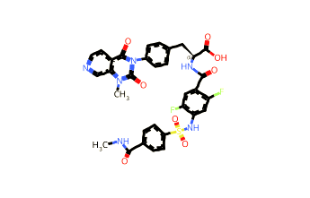 CNC(=O)c1ccc(S(=O)(=O)Nc2cc(F)c(C(=O)N[C@@H](Cc3ccc(-n4c(=O)c5ccncc5n(C)c4=O)cc3)C(=O)O)cc2F)cc1